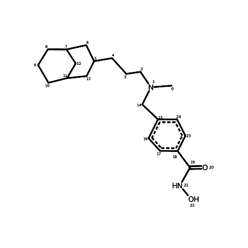 CN(CCCC1CC2CCCC(C2)C1)Cc1ccc(C(=O)NO)cc1